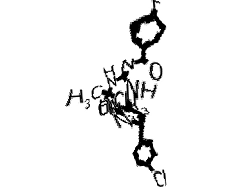 CC(C)(C)N/C(=N/C(=O)c1ccc(F)cc1)Nc1cc(-c2ccc(Cl)cc2)n[nH]1